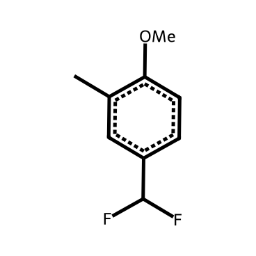 COc1ccc(C(F)F)cc1C